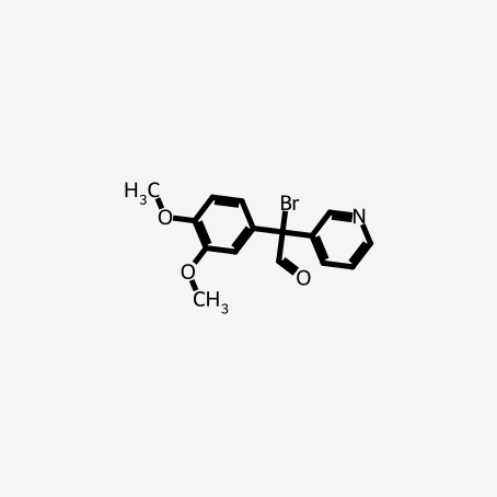 COc1ccc(C(Br)(C=O)c2cccnc2)cc1OC